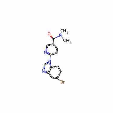 CN(C)C(=O)c1ccc(-n2cnc3cc(Br)ccc32)nc1